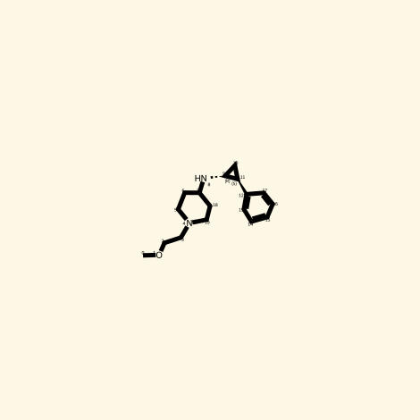 COCCN1CCC(N[C@@H]2C[C@H]2c2ccccc2)CC1